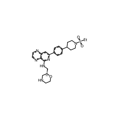 CCS(=O)(=O)N1CCC(c2ccc(-c3cc4nccnc4c(NC[C@@H]4CNCCO4)n3)cc2)CC1